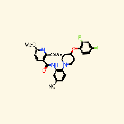 COc1ccc(C(=O)Nc2cc(C#N)ccc2N2CCC(Oc3ccc(F)cc3F)CC2)c(OC)n1